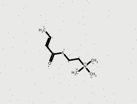 C/C=C/C(=O)SCC[N+](C)(C)C